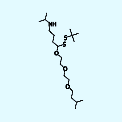 CC(C)CCOCCOCCOC(CCCNC(C)C)SSC(C)(C)C